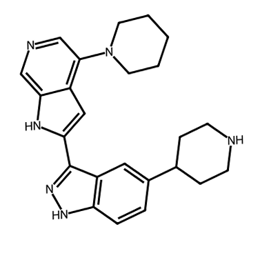 c1cc2[nH]nc(-c3cc4c(N5CCCCC5)cncc4[nH]3)c2cc1C1CCNCC1